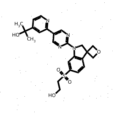 CC(C)(O)c1ccnc(-c2cnc(N3CC4(COC4)c4ccc(S(=O)(=O)CCO)cc43)nc2)c1